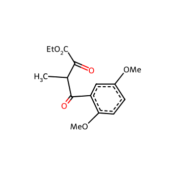 CCOC(=O)C(=O)C(C)C(=O)c1cc(OC)ccc1OC